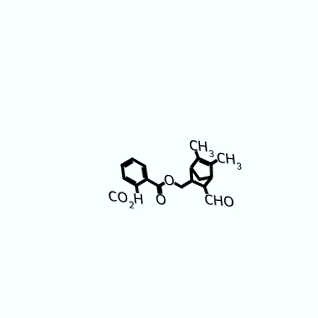 CC1=C(C)C2CC1C(C=O)C2COC(=O)c1ccccc1C(=O)O